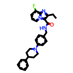 CCc1nc2c(F)cccn2c1C(=O)NCc1ccc(N2CCC(c3ccccc3)CC2)cc1